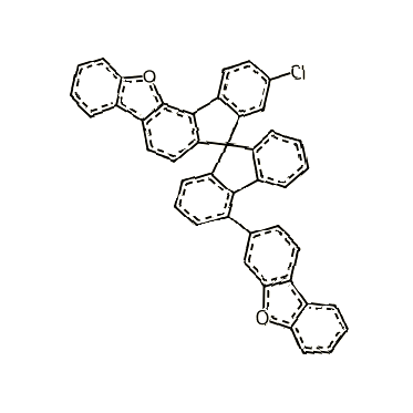 Clc1ccc2c(c1)C1(c3ccccc3-c3c(-c4ccc5c(c4)oc4ccccc45)cccc31)c1ccc3c(oc4ccccc43)c1-2